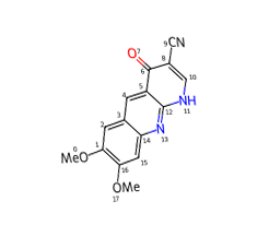 COc1cc2cc3c(=O)c(C#N)c[nH]c3nc2cc1OC